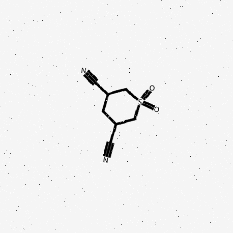 N#CC1CC(C#N)CS(=O)(=O)C1